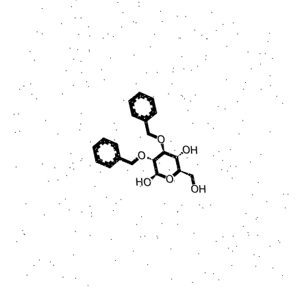 OC[C@H]1O[C@@H](O)[C@H](OCc2ccccc2)[C@@H](OCc2ccccc2)[C@@H]1O